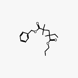 CCCOC(=O)C(C)(CC)CC(C)(C)C(=O)OCc1ccccc1